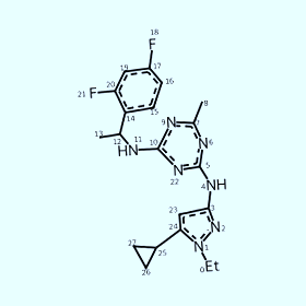 CCn1nc(Nc2nc(C)nc(NC(C)c3ccc(F)cc3F)n2)cc1C1CC1